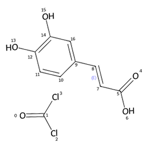 O=C(Cl)Cl.O=C(O)/C=C/c1ccc(O)c(O)c1